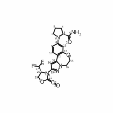 NC(=O)[C@@H]1CCCN1c1ccc2c(c1)OCCn1nc(N3C(=C=O)OC[C@H]3C(F)F)cc1-2